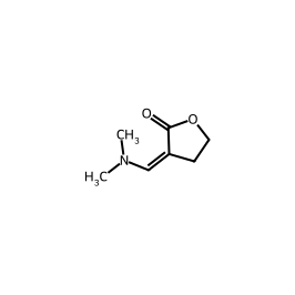 CN(C)C=C1CCOC1=O